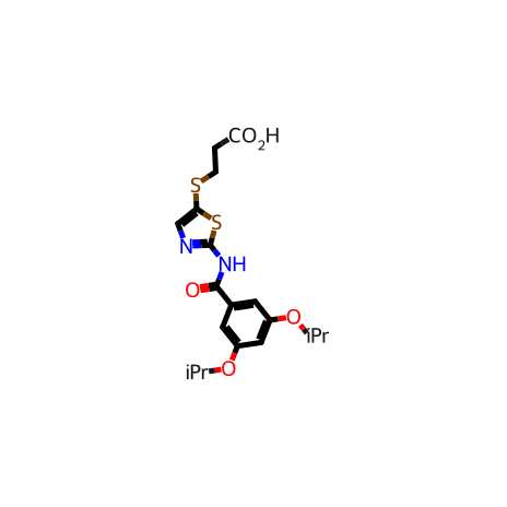 CC(C)Oc1cc(OC(C)C)cc(C(=O)Nc2ncc(SCCC(=O)O)s2)c1